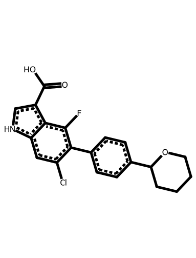 O=C(O)c1c[nH]c2cc(Cl)c(-c3ccc(C4CCCCO4)cc3)c(F)c12